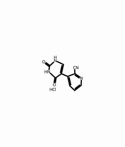 Cl.N#Cc1ncccc1-c1c[nH]c(=O)[nH]c1=O